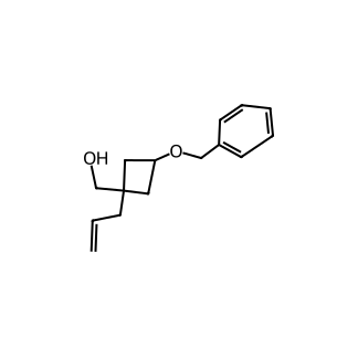 C=CCC1(CO)CC(OCc2ccccc2)C1